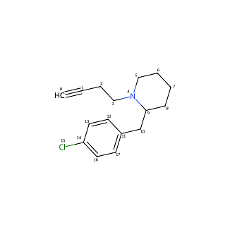 C#CCCN1CCCCC1Cc1ccc(Cl)cc1